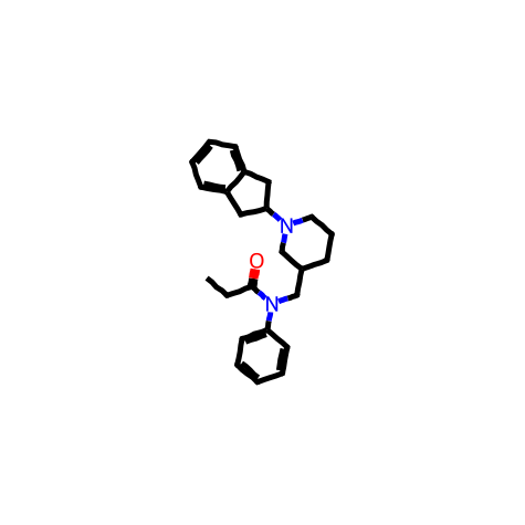 CCC(=O)N(CC1CCCN(C2Cc3ccccc3C2)C1)c1ccccc1